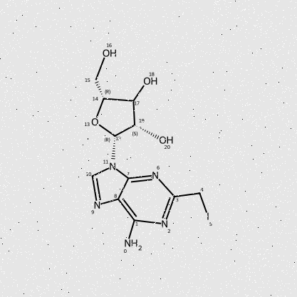 Nc1nc(CI)nc2c1ncn2[C@@H]1O[C@H](CO)C(O)[C@@H]1O